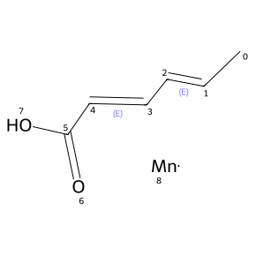 C/C=C/C=C/C(=O)O.[Mn]